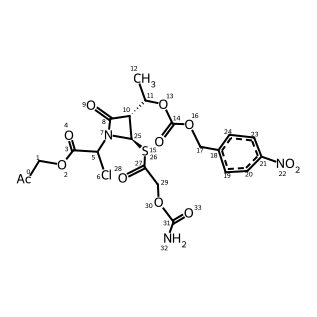 CC(=O)COC(=O)C(Cl)N1C(=O)[C@H](C(C)OC(=O)OCc2ccc([N+](=O)[O-])cc2)[C@H]1SC(=O)COC(N)=O